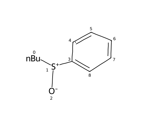 CCCC[S+]([O-])c1[c]cccc1